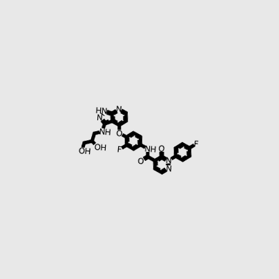 O=C(Nc1ccc(Oc2ccnc3[nH]nc(NCC(O)CO)c23)c(F)c1)c1ccnn(-c2ccc(F)cc2)c1=O